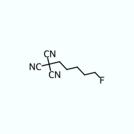 N#CC(C#N)(C#N)CCCCCF